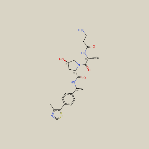 Cc1ncsc1-c1ccc([C@H](C)NC(=O)[C@@H]2C[C@@H](O)CN2C(=O)[C@@H](NC(=O)CCN)C(C)(C)C)cc1